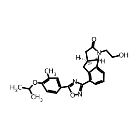 Cc1cc(-c2nc(-c3cccc4c3C[C@H]3CC(=O)N(CCO)[C@@H]43)no2)ccc1OC(C)C